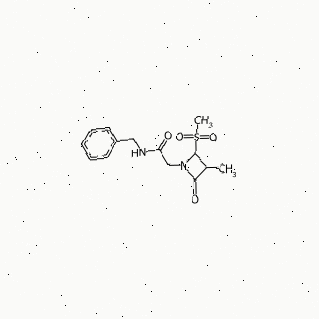 CC1C(=O)N(CC(=O)NCc2ccccc2)C1S(C)(=O)=O